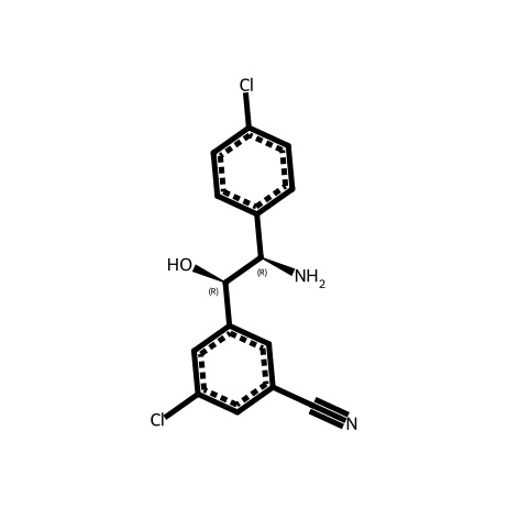 N#Cc1cc(Cl)cc([C@@H](O)[C@H](N)c2ccc(Cl)cc2)c1